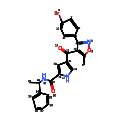 Cc1onc(-c2ccc(Br)cc2)c1C(=O)c1c[nH]c(C(=O)NC(C)c2ccccc2)c1